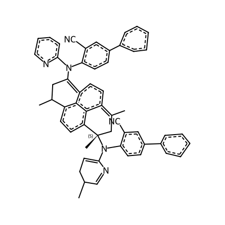 CC1=c2ccc3c4c(ccc(c24)[C@@](C)(N(C2=CCC(C)C=N2)c2ccc(-c4ccccc4)cc2C#N)C1)C(C)CC=3N(c1ccccn1)c1ccc(-c2ccccc2)cc1C#N